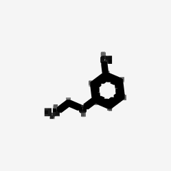 N#Cc1cccc(OCN)c1